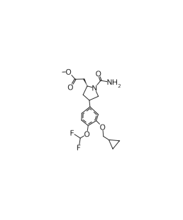 COC(=O)C[C@@H]1CC(c2ccc(OC(F)F)c(OCC3CC3)c2)CN1C(N)=O